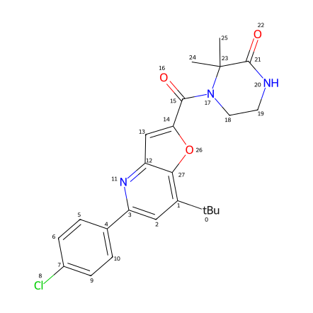 CC(C)(C)c1cc(-c2ccc(Cl)cc2)nc2cc(C(=O)N3CCNC(=O)C3(C)C)oc12